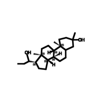 CCC(O)[C@H]1CC[C@H]2[C@@H]3CCC4CC(C)(O)CC[C@]4(C)[C@H]3CC[C@]12C